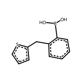 OB(O)c1ccccc1Cc1cccs1